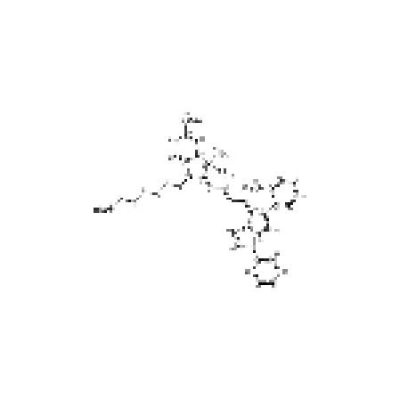 CCCCCCCCCCCCCCCCN1/C(=C/C=C/C=c2/c(-c3ccccc3OC)nn3c(-c4ccccn4)nnc23)C(C)(CCCC)c2cc(OC)ccc21